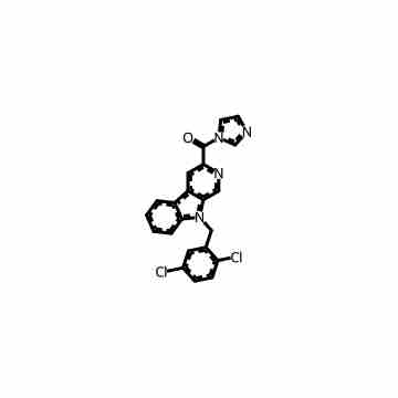 O=C(c1cc2c3ccccc3n(Cc3cc(Cl)ccc3Cl)c2cn1)n1ccnc1